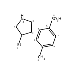 CCC1CCNC1.Cc1ccc(S(=O)(=O)O)cc1